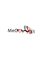 CCOC(C=CCCOCOC)OCC